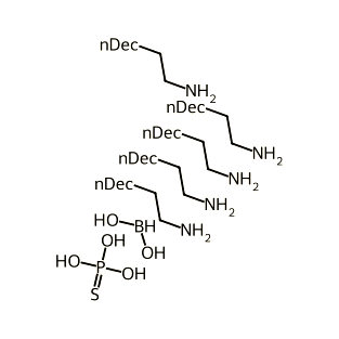 CCCCCCCCCCCCN.CCCCCCCCCCCCN.CCCCCCCCCCCCN.CCCCCCCCCCCCN.CCCCCCCCCCCCN.OBO.OP(O)(O)=S